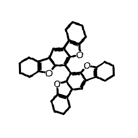 C1=c2c3c(oc2=C(C2=c4oc5c(c4=CC4C6=C(CCCC6)OC24)CCCC5)C2OC4=C(CCCC4)C12)CCCC3